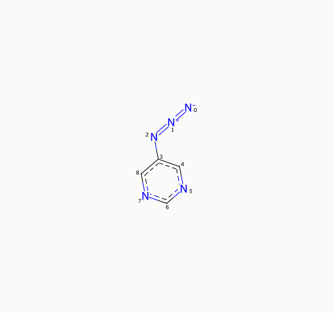 [N-]=[N+]=Nc1cncnc1